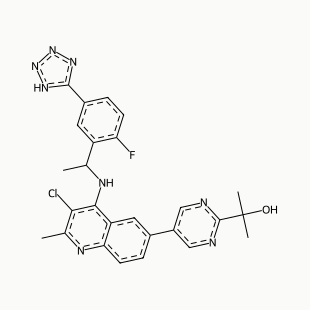 Cc1nc2ccc(-c3cnc(C(C)(C)O)nc3)cc2c(NC(C)c2cc(-c3nnn[nH]3)ccc2F)c1Cl